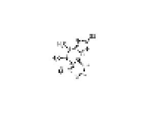 CCn1nc2c(n1)C(C)N(C)c1c(N)cccc1-2